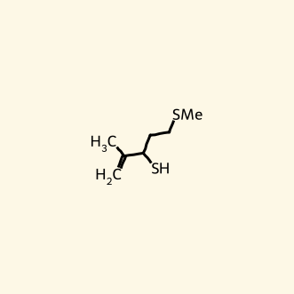 C=C(C)C(S)CCSC